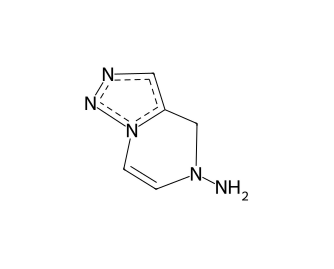 NN1C=Cn2nncc2C1